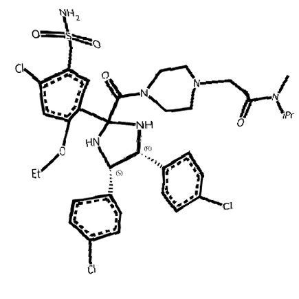 CCOc1cc(Cl)c(S(N)(=O)=O)cc1C1(C(=O)N2CCN(CC(=O)N(C)C(C)C)CC2)N[C@H](c2ccc(Cl)cc2)[C@H](c2ccc(Cl)cc2)N1